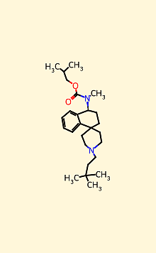 CC(C)COC(=O)N(C)[C@H]1CCC2(CCN(CCC(C)(C)C)CC2)c2ccccc21